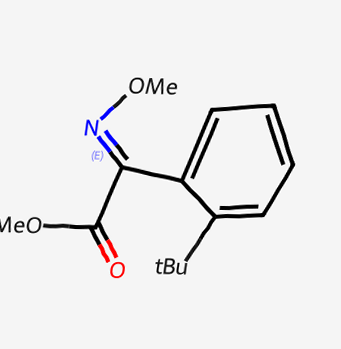 CO/N=C(/C(=O)OC)c1ccccc1C(C)(C)C